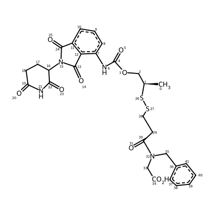 C[C@H](COC(=O)Nc1cccc2c1C(=O)N(C1CCC(=O)NC1=O)C2=O)SSCCC(=O)N(CC(=O)O)Cc1ccccc1